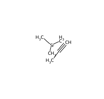 C#CC.C[Si](C)C